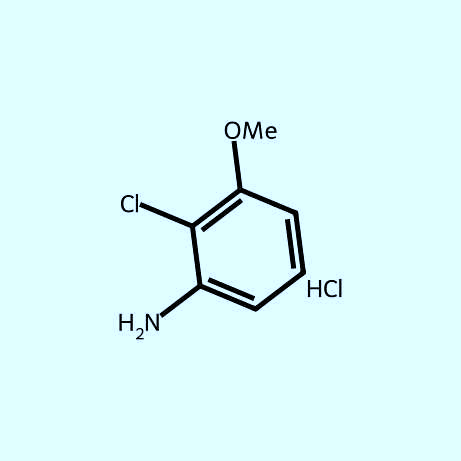 COc1cccc(N)c1Cl.Cl